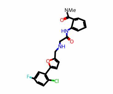 CNC(=O)c1ccccc1NC(=O)CNCc1ccc(-c2cc(F)ccc2Cl)o1